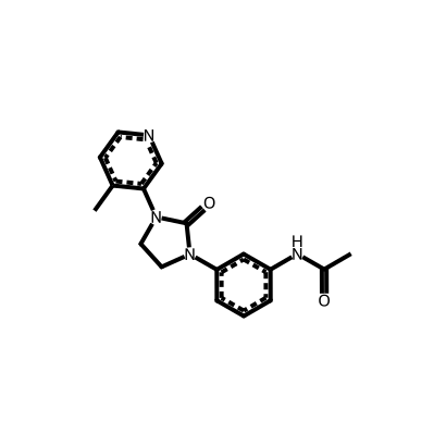 CC(=O)Nc1cccc(N2CCN(c3cnccc3C)C2=O)c1